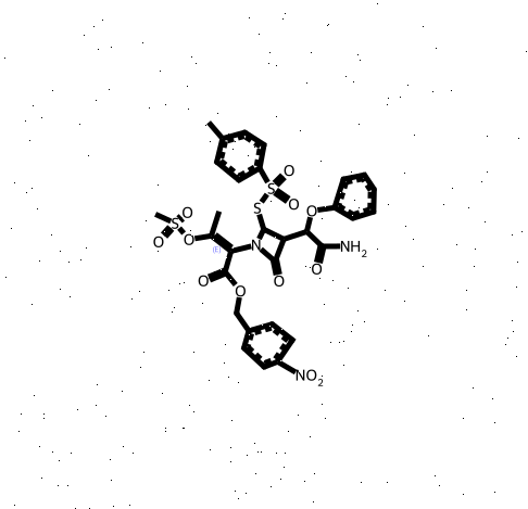 C/C(OS(C)(=O)=O)=C(/C(=O)OCc1ccc([N+](=O)[O-])cc1)N1C(=O)C(C(Oc2ccccc2)C(N)=O)C1SS(=O)(=O)c1ccc(C)cc1